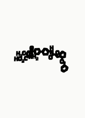 CC(CS(=O)(=O)c1ccc(-c2ccc(NC(=O)c3cc4c(OCc5ccccc5)cccc4o3)cc2)cc1)[C@H](N)C(=O)O